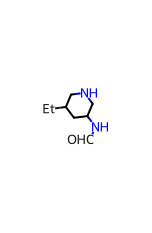 CCC1CNCC(NC=O)C1